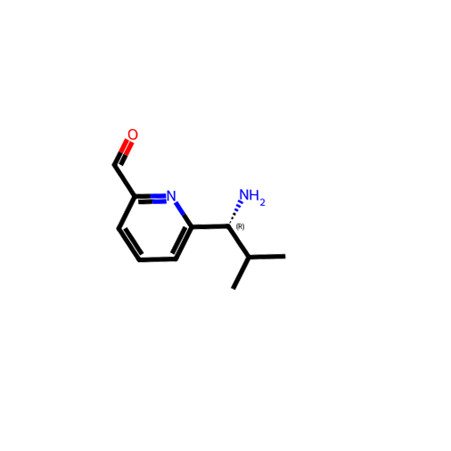 CC(C)[C@@H](N)c1cccc(C=O)n1